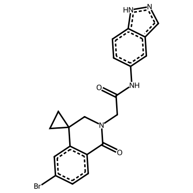 O=C(CN1CC2(CC2)c2cc(Br)ccc2C1=O)Nc1ccc2[nH]ncc2c1